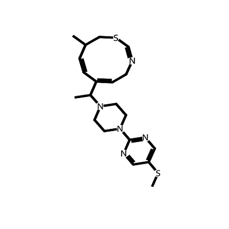 CSc1cnc(N2CCN(C(C)C3=C/C/N=C\SCC(C)/C=C\3)CC2)nc1